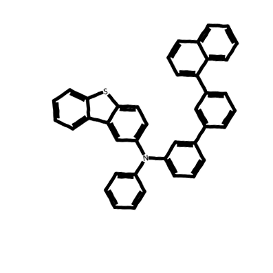 c1ccc(N(c2cccc(-c3cccc(-c4cccc5ccccc45)c3)c2)c2ccc3sc4ccccc4c3c2)cc1